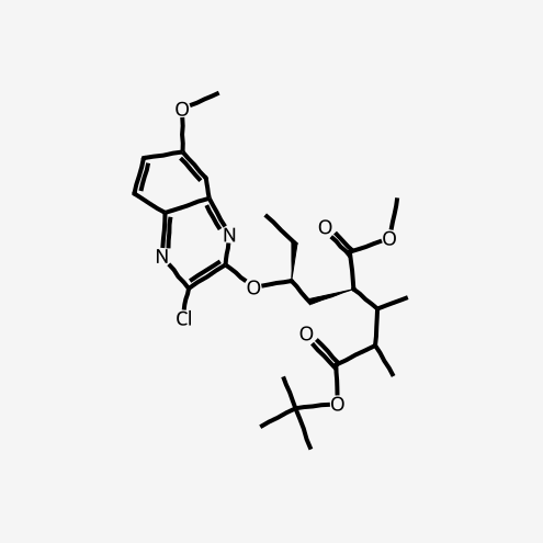 CC[C@@H](C[C@@H](C(=O)OC)C(C)C(C)C(=O)OC(C)(C)C)Oc1nc2cc(OC)ccc2nc1Cl